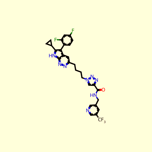 O=C(NCc1cncc(C(F)(F)F)c1)c1cn(CCCCc2cc3c(-c4ccc(F)cc4F)c(C4CC4)[nH]c3nn2)nn1